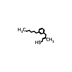 CCCCCCc1cccc(CC(C)=CCS)c1